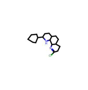 ClC1=NC2C(CC1)CCC1CCC(C3CCCCC3)NC12